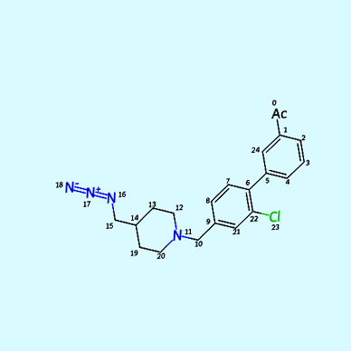 CC(=O)c1cccc(-c2ccc(CN3CCC(CN=[N+]=[N-])CC3)cc2Cl)c1